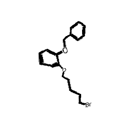 BrCCCCCOc1ccccc1OCc1ccccc1